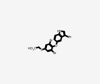 CC(C)c1c[nH]c2ccc(Oc3c(Br)cc(SCC(=O)O)cc3Br)cc12